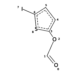 O=COc1ccc(I)s1